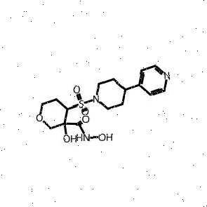 O=C(NO)C1(O)COCCC1S(=O)(=O)N1CCC(c2ccncc2)CC1